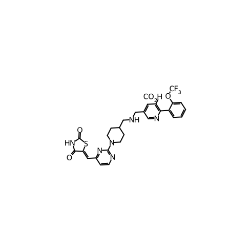 O=C1NC(=O)C(=Cc2ccnc(N3CCC(CNCc4cnc(-c5ccccc5OC(F)(F)F)c(C(=O)O)c4)CC3)n2)S1